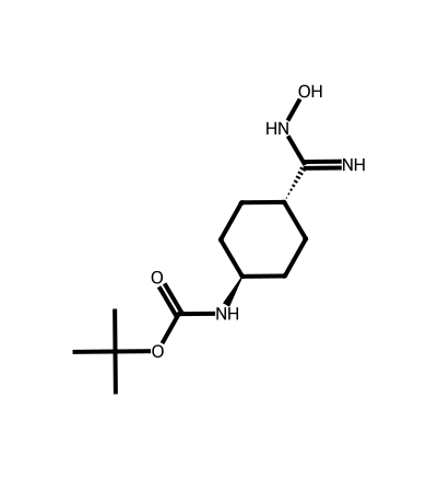 CC(C)(C)OC(=O)N[C@H]1CC[C@H](C(=N)NO)CC1